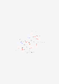 CCCCCCCCCC(=O)C(SSC(C(=O)CCCCCCCCC)(C(=O)CCCCCCCCC)[C@@](N)(C(=O)CCCCCCCCC)C(=O)OC(C)(C)C)(C(=O)CCCCCCCCC)[C@@](N)(C(=O)CCCCCCCCC)C(=O)OC(C)(C)C